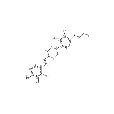 CCOCc1ccc(C2CCC(/C=C/c3ccc(O)c(F)c3F)CC2)c(F)c1F